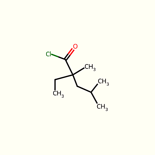 CCC(C)(CC(C)C)C(=O)Cl